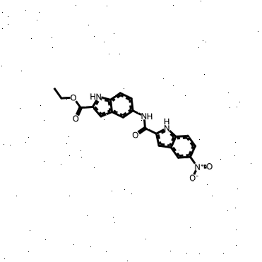 CCOC(=O)c1cc2cc(NC(=O)c3cc4cc([N+](=O)[O-])ccc4[nH]3)ccc2[nH]1